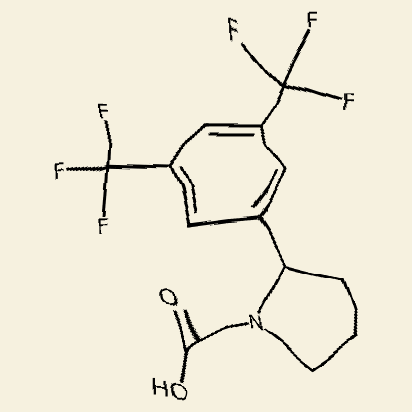 O=C(O)N1CCCC1c1cc(C(F)(F)F)cc(C(F)(F)F)c1